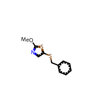 COc1ncc(SCc2ccccc2)s1